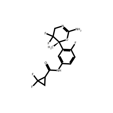 C[C@]1(c2cc(NC(=O)C3CC3(F)F)ccc2F)OC(N)=NCC1(F)F